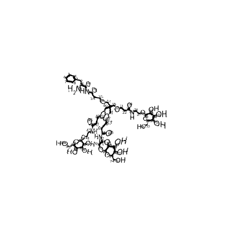 N[C@@H](Cc1ccccc1)C(=O)NC(=O)CCOCC(COCCC(=O)NCCO[C@H]1O[C@H](CO)[C@@H](O)[C@H](O)[C@@H]1O)(COCCC(=O)NCCO[C@H]1O[C@H](CO)[C@@H](O)[C@H](O)[C@@H]1O)COCCC(=O)NCCO[C@H]1O[C@H](CO)[C@@H](O)[C@H](O)[C@@H]1O